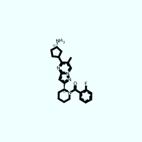 Cc1cn2nc([C@@H]3CCCCN3C(=O)c3ccccc3F)cc2nc1C1CC[C@H](N)C1